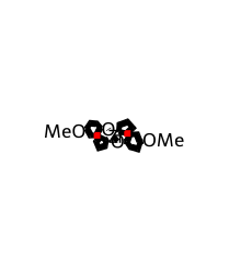 COc1ccc([O][Zr]([O]c2ccc(OC)cc2)([CH]2C=CC=C2)[CH]2C=CC=C2)cc1